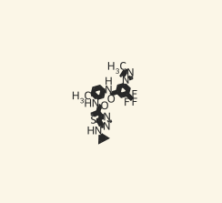 Cc1cn(-c2cc(C(=O)Nc3ccc(C)c(NC(=O)c4csc5c(NC6CC6)ncnc45)c3)cc(C(F)(F)F)c2)cn1